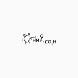 O=C(O)CC(=O)NCc1ccccc1